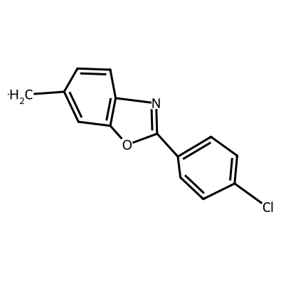 [CH2]c1ccc2nc(-c3ccc(Cl)cc3)oc2c1